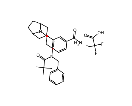 CC(C)(C)C(=O)N(CCCN1C2CCC1CC(c1cccc(C(N)=O)c1)C2)Cc1ccccc1.O=C(O)C(F)(F)F